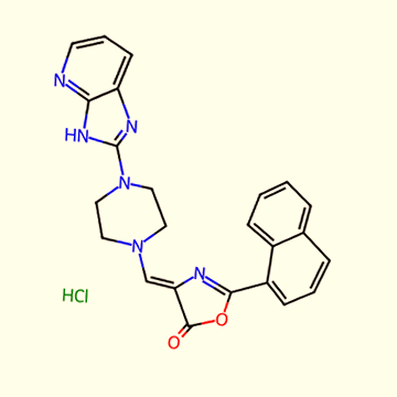 Cl.O=C1OC(c2cccc3ccccc23)=NC1=CN1CCN(c2nc3cccnc3[nH]2)CC1